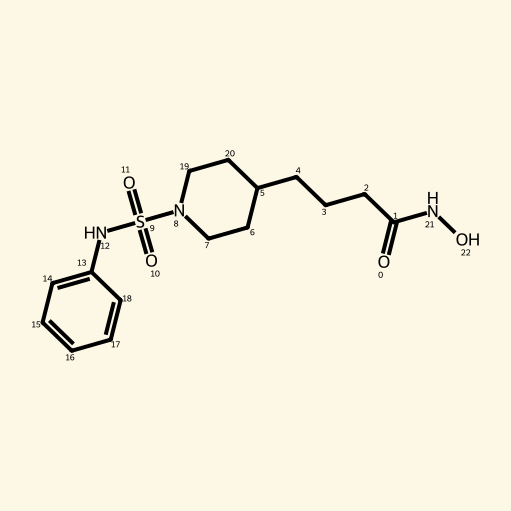 O=C(CCCC1CCN(S(=O)(=O)Nc2ccccc2)CC1)NO